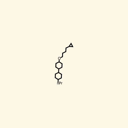 CCCC1CCC(C2CCC(OCCCCC3CC3)CC2)CC1